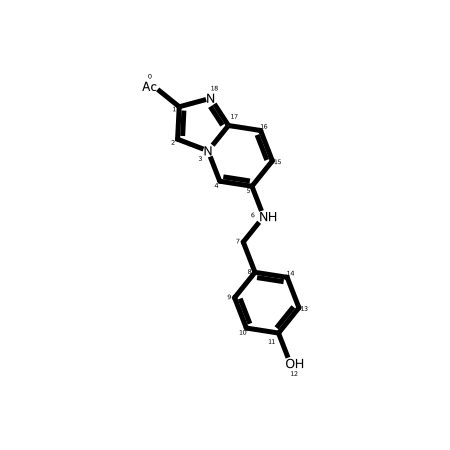 CC(=O)c1cn2cc(NCc3ccc(O)cc3)ccc2n1